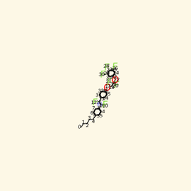 CCCCCc1ccc(/C(F)=C(\F)c2ccc(OCC(F)(F)Oc3cc(F)c(F)c(F)c3)cc2)cc1